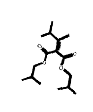 CC(=C(C(=O)OCC(C)C)C(=O)OCC(C)C)C(C)C